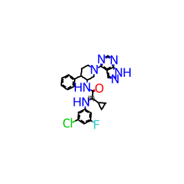 O=C(NC1CN(c2ncnc3[nH]ncc23)CCC1c1ccccc1)[C@H](Nc1cc(F)cc(Cl)c1)C1CC1